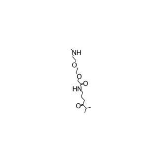 CNCCOCCOCC(=O)NCCCC(=O)C(C)C